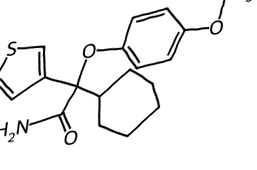 COc1ccc(OC(C(N)=O)(c2ccsc2)C2CCCCC2)cc1